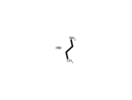 Br.CCCN